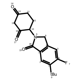 CC(C)(C)c1cc2c(cc1F)CN(C1CCC(=O)CC1=O)C2=O